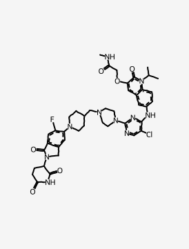 CNC(=O)COc1cc2cc(Nc3nc(N4CCN(CC5CCN(c6cc7c(cc6F)C(=O)N(C6CCC(=O)NC6=O)C7)CC5)CC4)ncc3Cl)ccc2n(C(C)C)c1=O